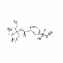 CCC(C)C(N)(CC)OC(=O)c1cccc(S(=O)(=O)N=[N+]=[N-])c1